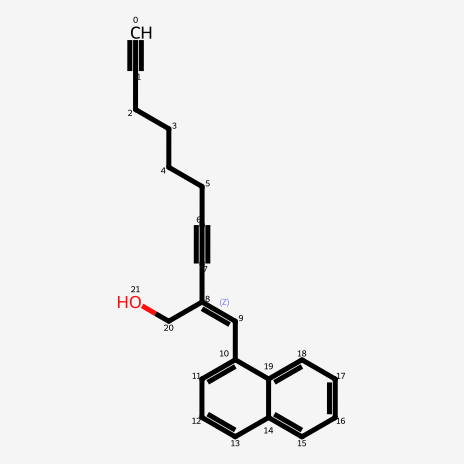 C#CCCCCC#C/C(=C/c1cccc2ccccc12)CO